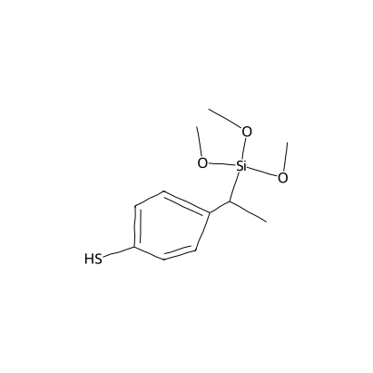 CO[Si](OC)(OC)C(C)c1ccc(S)cc1